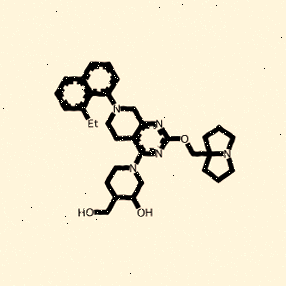 CCc1cccc2cccc(N3CCc4c(nc(OCC56CCCN5CCC6)nc4N4CCC(CO)C(O)C4)C3)c12